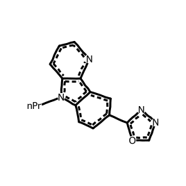 CCCn1c2ccc(-c3nnco3)cc2c2ncccc21